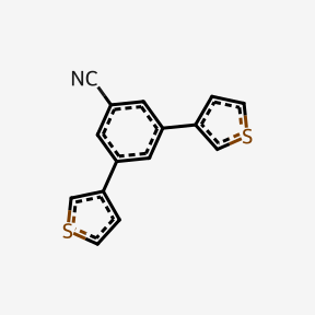 N#Cc1cc(-c2ccsc2)cc(-c2ccsc2)c1